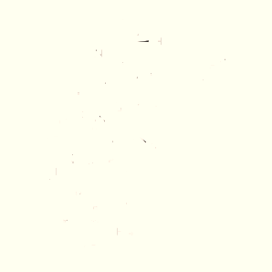 C[C@@H](O[C@H]1CN2C(=O)C(C)(CN3CC[C@@H](O)C3)C[C@H]2[C@@H]1c1ccc(F)cc1)c1cc(C(F)(F)F)cc(C(F)(F)F)c1